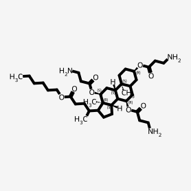 CCCCCCOC(=O)CCC(C)C1CC[C@H]2C3[C@H](OC(=O)CCN)CC4C[C@H](OC(=O)CCN)CC[C@]4(C)[C@H]3C[C@H](OC(=O)CCN)[C@]12C